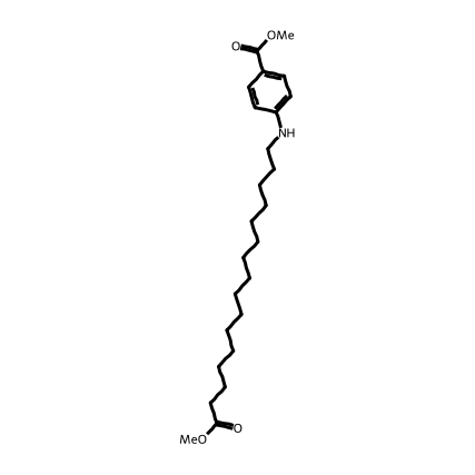 COC(=O)CCCCCCCCCCCCCCCNc1ccc(C(=O)OC)cc1